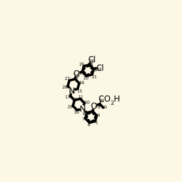 C[C@@H](Oc1ccccc1N1CCC(CN2CCC(Oc3ccc(Cl)c(Cl)c3)CC2)CC1)C(=O)O